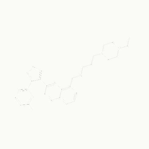 Cc1cccc(-c2n[nH]cc2-c2ccc3nccc(CNCCCN4CCN(C(C)C)CC4)c3n2)n1